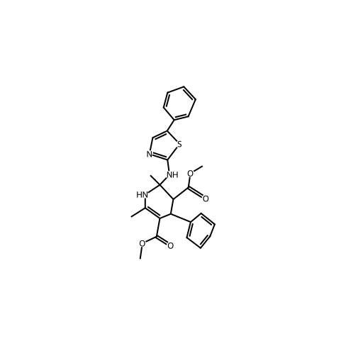 COC(=O)C1=C(C)NC(C)(Nc2ncc(-c3ccccc3)s2)C(C(=O)OC)C1c1ccccc1